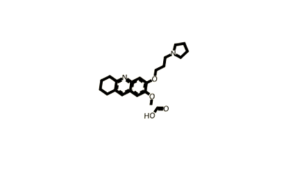 COc1cc2cc3c(nc2cc1OCCCN1CCCC1)CCCC3.O=CO